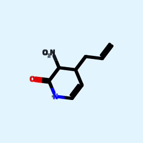 C=CCC1C=C[N]C(=O)C1[N+](=O)[O-]